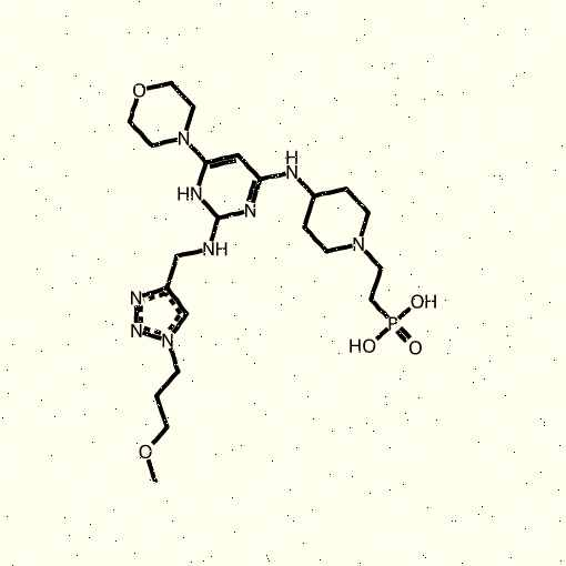 COCCCn1cc(CNC2N=C(NC3CCN(CCP(=O)(O)O)CC3)C=C(N3CCOCC3)N2)nn1